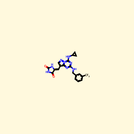 O=C1NC(=O)/C(=C/c2cnn3c(NC4CC4)nc(NCc4cccc(C(F)(F)F)c4)nc23)N1